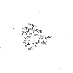 CC(=O)N1C[C@@H]2CN([C@H]3C[C@@H](C(C(C)C)N4CC[C@@H](Cc5cn(-c6ccc(F)cc6C(=O)N(C)C(C)C)c6cncc(C)c56)C4)C3)C[C@H]2C1